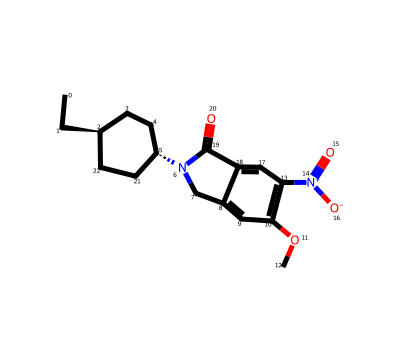 CC[C@H]1CC[C@H](N2Cc3cc(OC)c([N+](=O)[O-])cc3C2=O)CC1